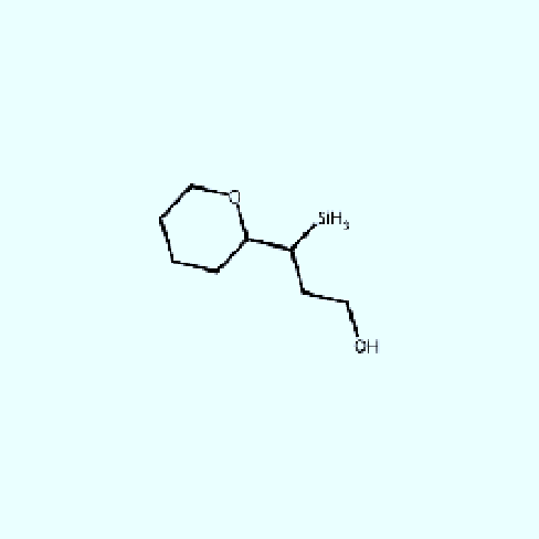 OCCC([SiH3])C1CCCCO1